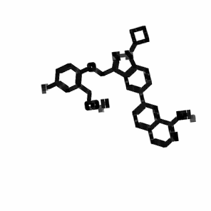 Nc1nccc2ccc(-c3ccc4c(c3)c(COc3ccc(F)cc3CC(=O)O)nn4C3CCC3)cc12